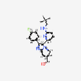 CC(C)(C)CNc1cccc(-c2c(-c3ccc(F)cc3)nc3cc(CO)ccn23)n1